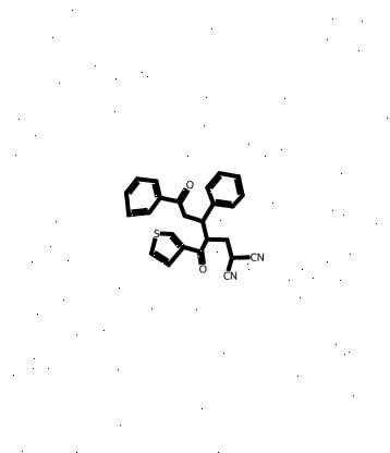 N#CC(C#N)CC(C(=O)c1ccsc1)C(CC(=O)c1ccccc1)c1ccccc1